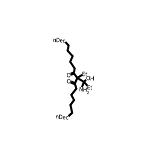 CCCCCCCCCCCCCCCC(=O)C(CC)(C(=O)CCCCCCCCCCCCCCC)C(N)(O)CC